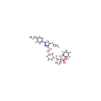 CCc1oc(-c2ccc(C)cc2)nc1CO[C@H]1CCC[C@@H](COC(C)(Cc2ccccc2)C(=O)O)C1